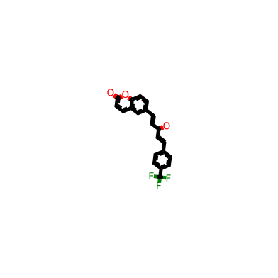 O=C(C=Cc1ccc(C(F)(F)F)cc1)C=Cc1ccc2oc(=O)ccc2c1